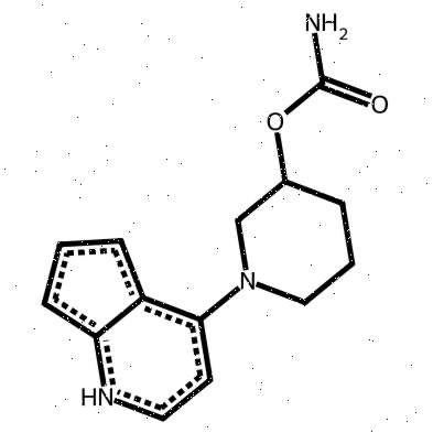 NC(=O)OC1CCCN(c2cc[nH]c3cccc2-3)C1